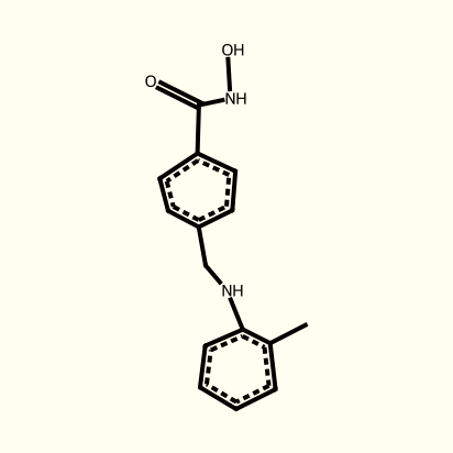 Cc1ccccc1NCc1ccc(C(=O)NO)cc1